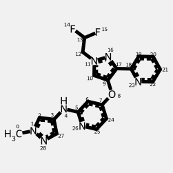 Cn1cc(Nc2cc(Oc3cn(CC(F)F)nc3-c3ccccn3)ccn2)cn1